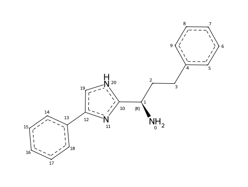 N[C@H](CCc1ccccc1)c1nc(-c2ccccc2)c[nH]1